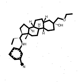 CCOC[C@@]1(O)CC[C@H]2[C@H](CC[C@@H]3[C@@H]2CC[C@]2(C)[C@@H]([C@@H](CC)Nc4cccc(C#N)c4)CC[C@@H]32)C1